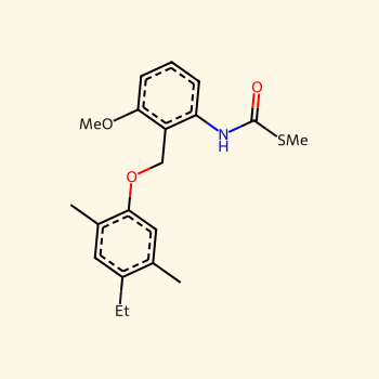 CCc1cc(C)c(OCc2c(NC(=O)SC)cccc2OC)cc1C